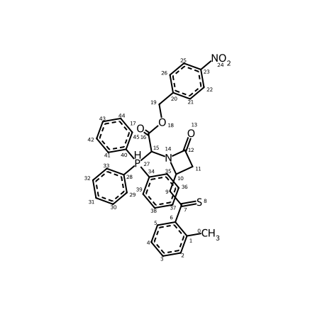 Cc1ccccc1C(=S)CC1CC(=O)N1C(C(=O)OCc1ccc([N+](=O)[O-])cc1)[PH](c1ccccc1)(c1ccccc1)c1ccccc1